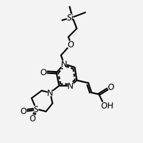 C[Si](C)(C)CCOCn1cc(/C=C/C(=O)O)nc(N2CCS(=O)(=O)CC2)c1=O